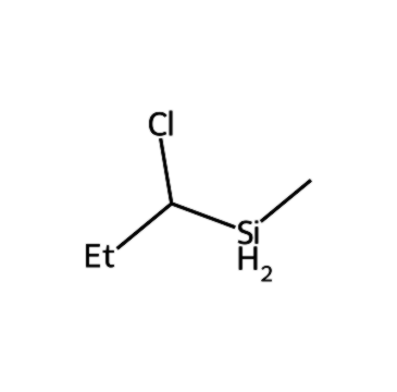 CCC(Cl)[SiH2]C